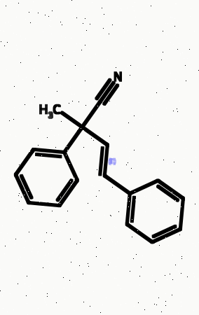 CC(C#N)(/C=C/c1ccccc1)c1ccccc1